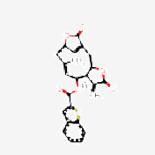 C=C1C(=O)OC2CC3=C[C@@H](C/C(C)=C/C(OC(=O)c4cc5ccccc5s4)[C@H]12)OC3=O